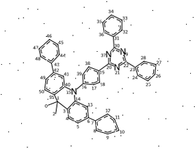 CC1(C)c2ccc(-c3ccccc3)cc2N(c2ccc(-c3nc(-c4ccccc4)nc(-c4ccccc4)n3)cc2)c2cc(-c3ccccc3)ccc21